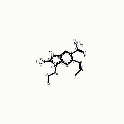 C/C=C\c1cc2c(cc1C(N)=O)nc(N)n2CCC